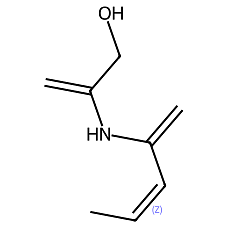 C=C(/C=C\C)NC(=C)CO